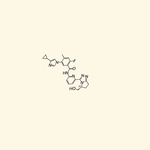 Cc1cc(F)c(C(=O)Nc2cccc(-c3nnc4n3[C@H](CO)CC4)n2)cc1-n1cnc(C2CC2)c1